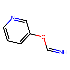 N=COc1cccnc1